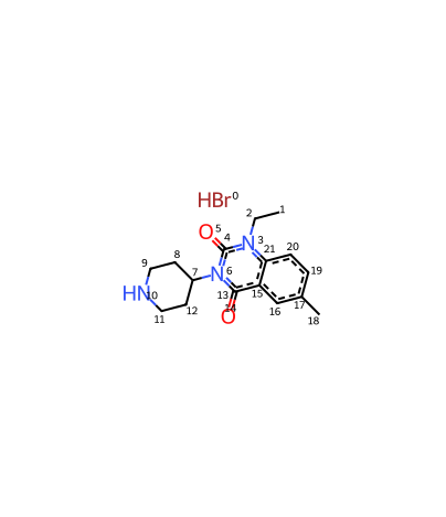 Br.CCn1c(=O)n(C2CCNCC2)c(=O)c2cc(C)ccc21